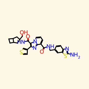 Nc1nc2ccc(CNC(=O)c3cccn4c(C(=O)NC5(CO)CC6CCC6C5)c(-c5ccsc5)nc34)cc2s1